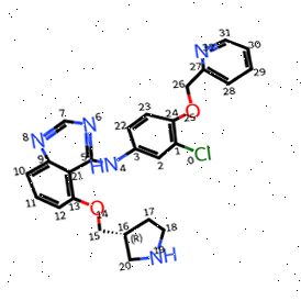 Clc1cc(Nc2ncnc3cccc(OC[C@@H]4CCNC4)c23)ccc1OCc1ccccn1